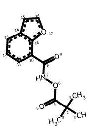 CC(C)(C)C(=O)ONC(=O)c1cccc2ccoc12